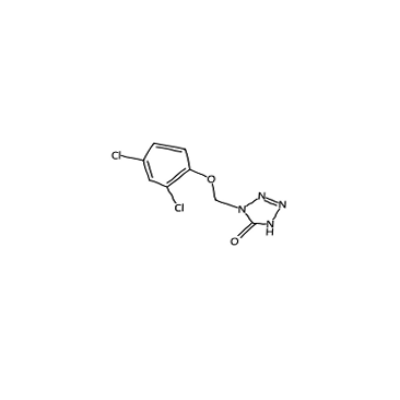 O=c1[nH]nnn1COc1ccc(Cl)cc1Cl